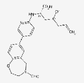 C=CC[S+]([O-])C[C@H](Nc1ccc(-c2ccc3c(c2)CN(C=O)CCO3)cn1)C(=O)O